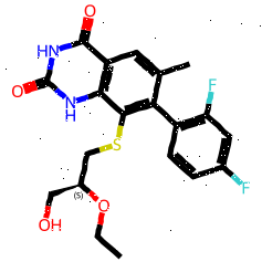 CCO[C@@H](CO)CSc1c(-c2ccc(F)cc2F)c(C)cc2c(=O)[nH]c(=O)[nH]c12